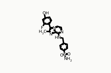 Cc1nc2c(NCc3ccc(S(N)(=O)=O)cc3)nccn2c1-c1ccc(O)cc1F